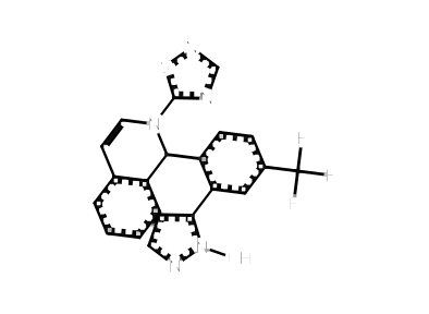 Cn1nccc1-c1cc(C(F)(F)F)ccc1C1c2ccccc2C=CN1c1ncns1